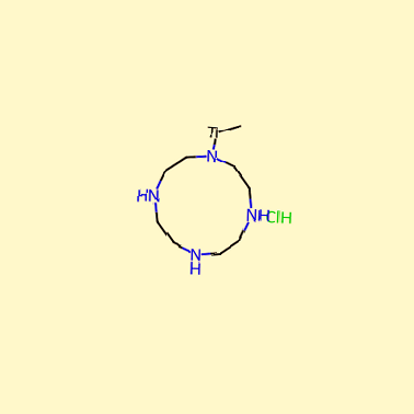 Cl.[CH3][Ti][N]1CCNCCNCCNCC1